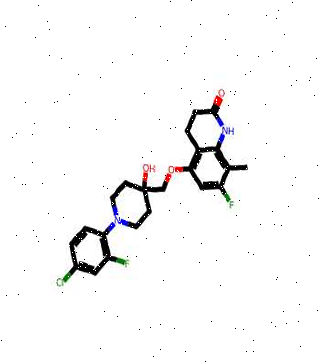 Cc1c(F)cc(OCC2(O)CCN(c3ccc(Cl)cc3F)CC2)c2c1NC(=O)CC2